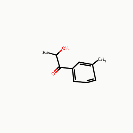 Cc1cccc(C(=O)C(O)C(C)(C)C)c1